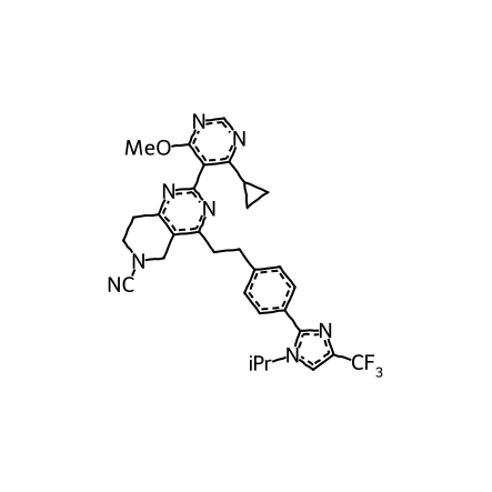 COc1ncnc(C2CC2)c1-c1nc(CCc2ccc(-c3nc(C(F)(F)F)cn3C(C)C)cc2)c2c(n1)CCN(C#N)C2